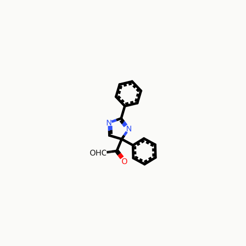 O=CC(=O)C1(c2ccccc2)C=NC(c2ccccc2)=N1